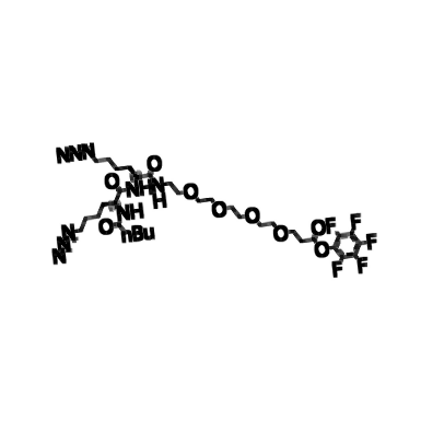 CCCCC(=O)N[C@@H](CCCCN=[N+]=[N-])C(=O)N[C@@H](CCCCN=[N+]=[N-])C(=O)NCCOCCOCCOCCOCCC(=O)Oc1c(F)c(F)c(F)c(F)c1F